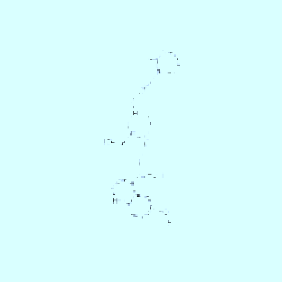 COc1ccc2nccc([C@H](O)CC[C@@H]3CCN(CC#Cc4ccccc4F)C[C@@H]3CO)c2c1